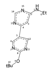 CCNc1cc(-c2cnc(OC(C)(C)C)nc2)ncn1